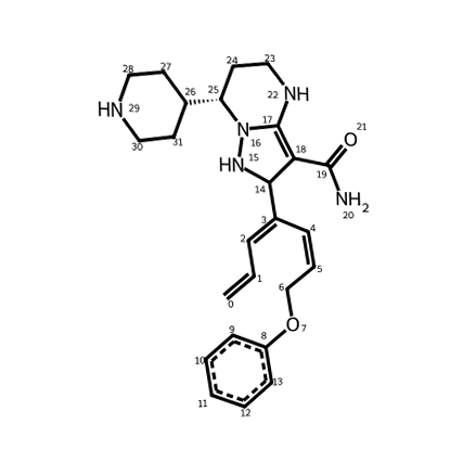 C=C/C=C(\C=C/COc1ccccc1)C1NN2C(=C1C(N)=O)NCC[C@H]2C1CCNCC1